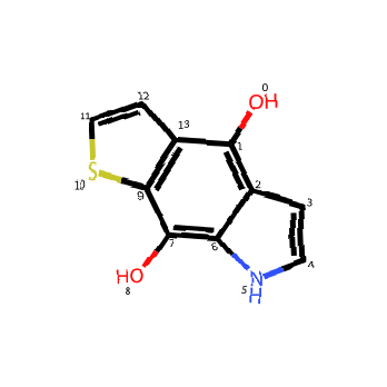 Oc1c2cc[nH]c2c(O)c2sccc12